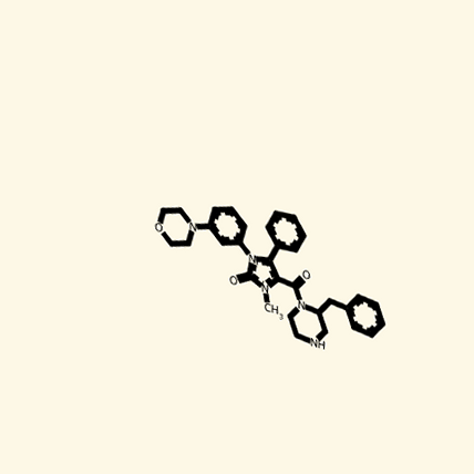 Cn1c(C(=O)N2CCNCC2Cc2ccccc2)c(-c2ccccc2)n(-c2cccc(N3CCOCC3)c2)c1=O